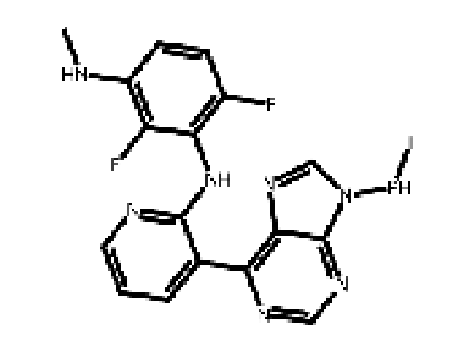 CNc1ccc(F)c(Nc2ncccc2-c2ncnc3c2ncn3PI)c1F